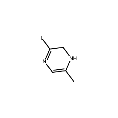 CC1=CN=C(I)CN1